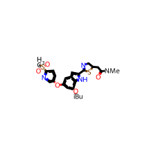 CCC(C)Oc1cc(Oc2ccc(S(C)(=O)=O)nc2)cc2cc(C3=NCC(CC(=O)NC)S3)[nH]c12